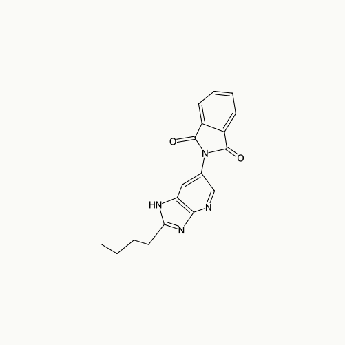 CCCCc1nc2ncc(N3C(=O)c4ccccc4C3=O)cc2[nH]1